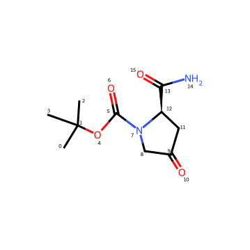 CC(C)(C)OC(=O)N1CC(=O)C[C@@H]1C(N)=O